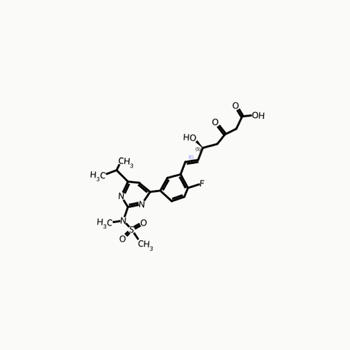 CC(C)c1cc(-c2ccc(F)c(/C=C/[C@@H](O)CC(=O)CC(=O)O)c2)nc(N(C)S(C)(=O)=O)n1